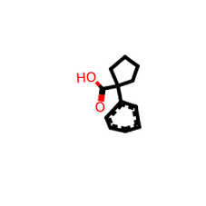 O=C(O)C1(c2ccccc2)CCCC1